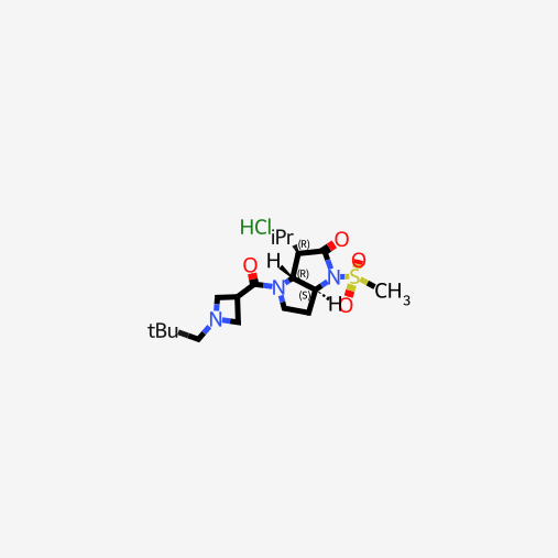 CC(C)[C@H]1C(=O)N(S(C)(=O)=O)[C@H]2CCN(C(=O)C3CN(CC(C)(C)C)C3)[C@H]12.Cl